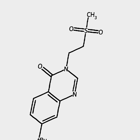 CC(C)(C)c1ccc2c(=O)n(CCS(C)(=O)=O)cnc2c1